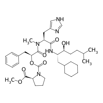 COC(=O)[C@@H]1CCCN1C(=O)O[C@@H](Cc1ccccc1)C(=O)N(C)[C@@H](Cc1c[nH]cn1)C(=O)N[C@@H](CC1CCCCC1)[C@@H](O)CCC(C)C